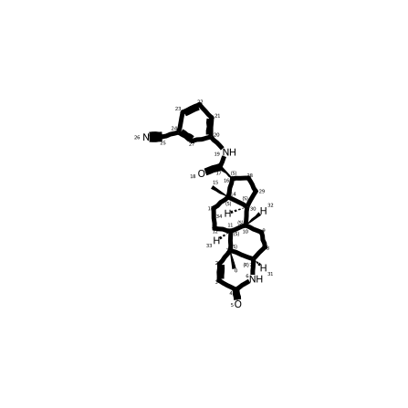 C[C@]12C=CC(=O)N[C@@H]1CC[C@@H]1[C@@H]2CC[C@]2(C)[C@@H](C(=O)Nc3cccc(C#N)c3)CC[C@@H]12